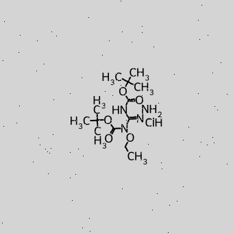 CCON(C(=O)OC(C)(C)C)C(=NN)NC(=O)OC(C)(C)C.Cl